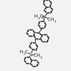 C[Si](C)(c1ccc(-c2c3ccccc3c(-c3ccc([Si](C)(C)c4cccc5ccccc45)cc3)c3ccccc23)cc1)c1ccc2ccccc2c1